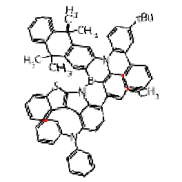 Cc1cc2c3c(c1)N(c1ccc(C(C)(C)C)cc1-c1ccccc1)c1cc4c(cc1B3n1c3sc5ccccc5c3c3c(N(c5ccccc5)c5ccccc5)ccc-2c31)C(C)(C)c1ccccc1C4(C)C